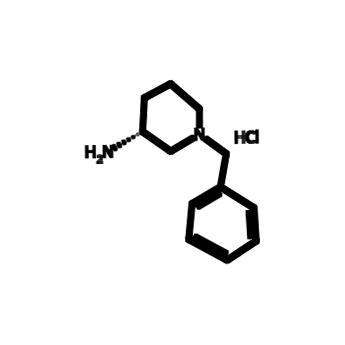 Cl.N[C@@H]1CCCN(Cc2ccccc2)C1